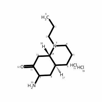 CCCN1CCC[C@H]2CC(N)C(=O)C[C@@H]21.Cl.Cl